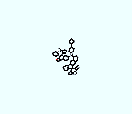 c1ccc(-c2ccc(N(c3ccc4c(c3)C3(c5ccccc5Oc5ccccc53)c3ccccc3-4)c3cccc4cc5c(cc34)-c3ccccc3C53c4ccccc4Oc4ccccc43)cc2)cc1